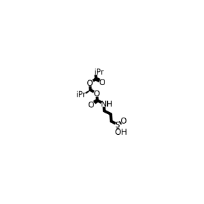 CC(C)C(=O)O[C@@H](OC(=O)NCCCS(=O)O)C(C)C